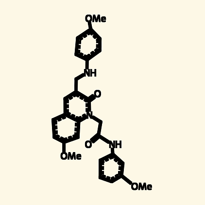 COc1ccc(NCc2cc3ccc(OC)cc3n(CC(=O)Nc3cccc(OC)c3)c2=O)cc1